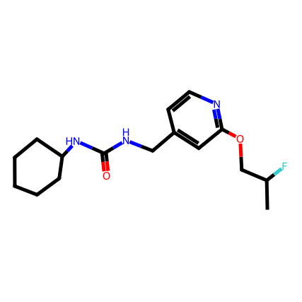 CC(F)COc1cc(CNC(=O)NC2CCCCC2)ccn1